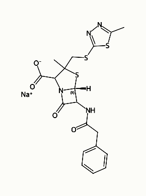 Cc1nnc(SCC2(C)S[C@@H]3C(NC(=O)Cc4ccccc4)C(=O)N3C2C(=O)[O-])s1.[Na+]